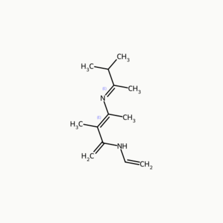 C=CNC(=C)/C(C)=C(C)/N=C(\C)C(C)C